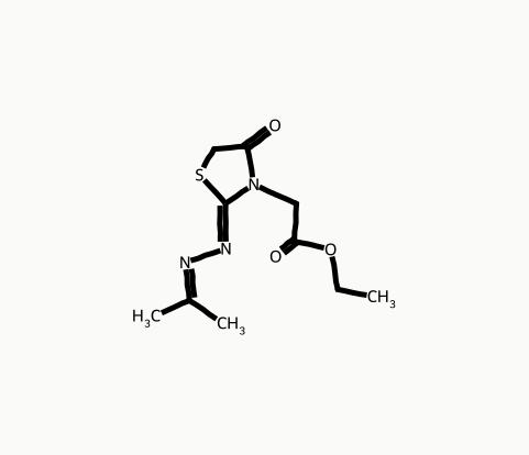 CCOC(=O)CN1C(=O)CSC1=NN=C(C)C